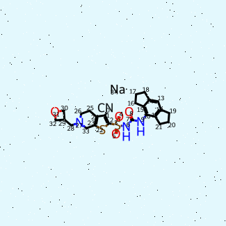 N#Cc1c(S(=O)(=O)NC(=O)Nc2c3c(cc4c2CCC4)CCC3)sc2c1CCN(CC1COC1)C2.[Na]